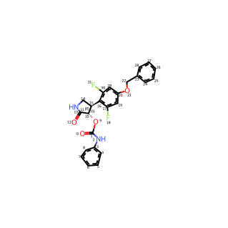 O=C(Nc1ccccc1)O[C@@H]1C(=O)NC[C@H]1c1c(F)cc(OCc2ccccc2)cc1F